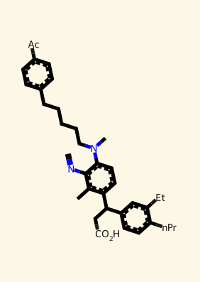 C=Nc1c(N(C)CCCCCc2ccc(C(C)=O)cc2)ccc(C(CC(=O)O)c2ccc(CCC)c(CC)c2)c1C